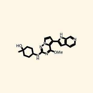 COc1nc(NC2CCC(C)(O)CC2)nn2ccc(-c3cc4ccncc4[nH]3)c12